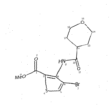 COC(=O)c1scc(Br)c1NC(=O)C1CCOCC1